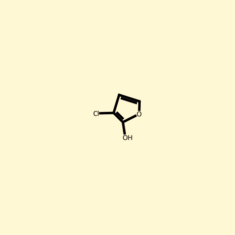 Oc1occc1Cl